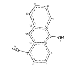 Oc1cccc2c(O)c3ccccc3cc12